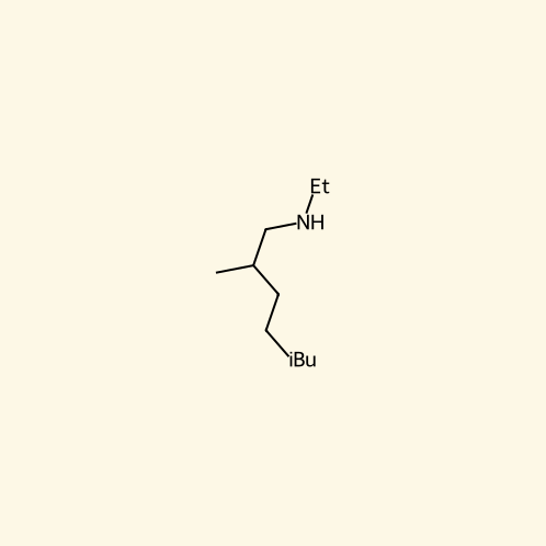 CCNCC(C)CCC(C)CC